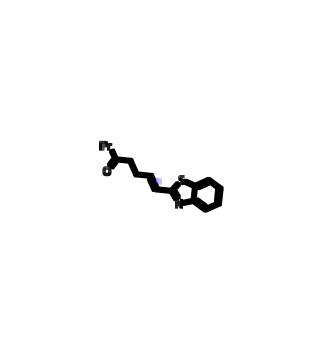 CC(C)C(=O)CC/C=C/c1nc2ccccc2s1